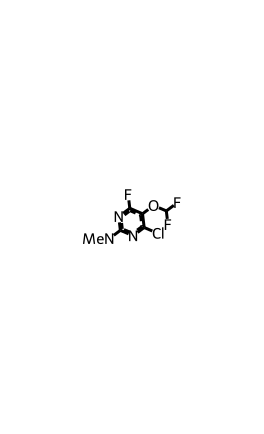 CNc1nc(F)c(OC(F)F)c(Cl)n1